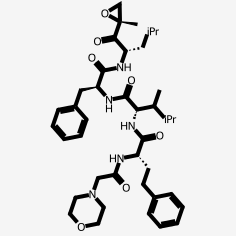 CC(C)C[C@H](NC(=O)[C@H](Cc1ccccc1)NC(=O)[C@@H](NC(=O)[C@H](CCc1ccccc1)NC(=O)CN1CCOCC1)C(C)C(C)C)C(=O)[C@@]1(C)CO1